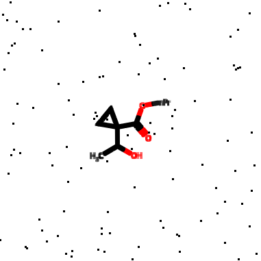 CCCOC(=O)C1(C(C)O)CC1